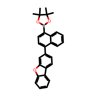 CC1(C)OB(c2ccc(-c3ccc4c(c3)oc3ccccc34)c3ccccc23)OC1(C)C